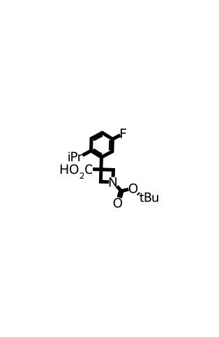 CC(C)c1ccc(F)cc1C1(C(=O)O)CN(C(=O)OC(C)(C)C)C1